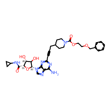 Nc1nc(C#CCC2CCN(C(=O)OCCOCc3ccccc3)CC2)nc2c1ncn2[C@@H]1O[C@H](C(=O)NC2CC2)[C@H](O)C1O